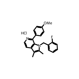 COc1ccc(-c2nccc3c(C)c(C)n(Cc4ccccc4F)c23)cc1.Cl